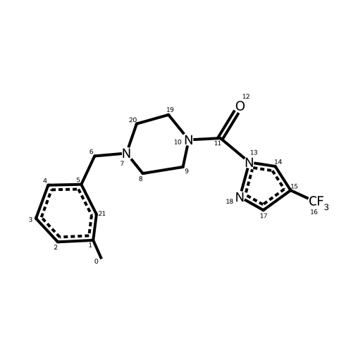 Cc1cccc(CN2CCN(C(=O)n3cc(C(F)(F)F)cn3)CC2)c1